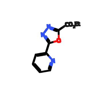 CCOC(=O)c1nnc(-c2ccccn2)o1